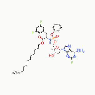 CCCCCCCCCCCCCCCCCCCCOC(=O)[C@H](Cc1cc(F)cc(F)c1)NP(=O)(OC[C@@]1(C)O[C@@H](n2cnc3c(N)nc(F)nc32)C[C@@H]1O)Oc1ccccc1